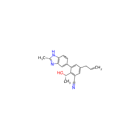 C=CCc1cc(C#N)c(C(C)O)c(-c2ccc3[nH]c(C)nc3c2)c1